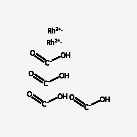 O=[C-]O.O=[C-]O.O=[C-]O.O=[C-]O.[Rh+2].[Rh+2]